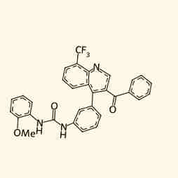 COc1ccccc1NC(=O)Nc1cccc(-c2c(C(=O)c3ccccc3)cnc3c(C(F)(F)F)cccc23)c1